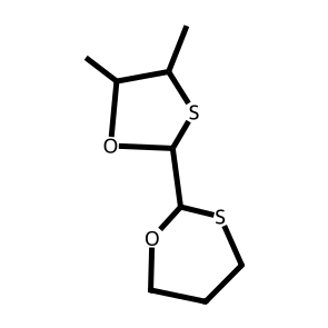 CC1OC(C2OCCCS2)SC1C